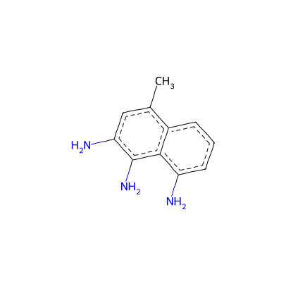 Cc1cc(N)c(N)c2c(N)cccc12